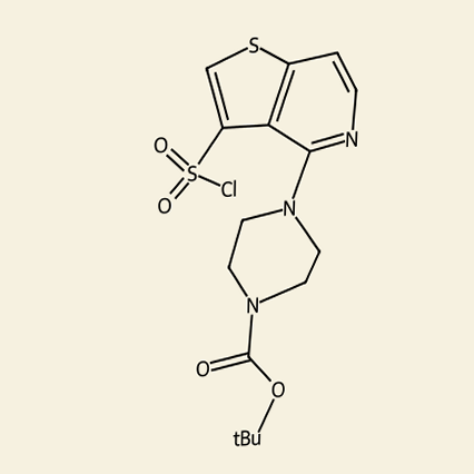 CC(C)(C)OC(=O)N1CCN(c2nccc3scc(S(=O)(=O)Cl)c23)CC1